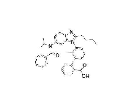 CCCCc1nc2ccc(N(C(=O)c3ccccc3)C(C)C)cc2n1-c1cccc(-c2ccccc2C(=O)O)c1C